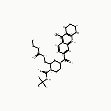 CCCC(=O)OCC1CN(C(=O)c2ccc3c(Cl)c4c(nc3c2)CCCC4)CCN1C(=O)OC(C)(C)C